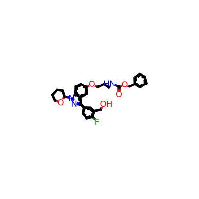 O=C(NCCCOc1ccc2c(c1)c(-c1ccc(F)c(CO)c1)nn2C1CCCCO1)OCc1ccccc1